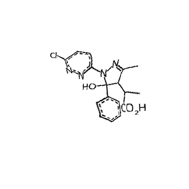 CC1=NN(c2ccc(Cl)nn2)C(O)(c2ccccc2)C1C(C)C(=O)O